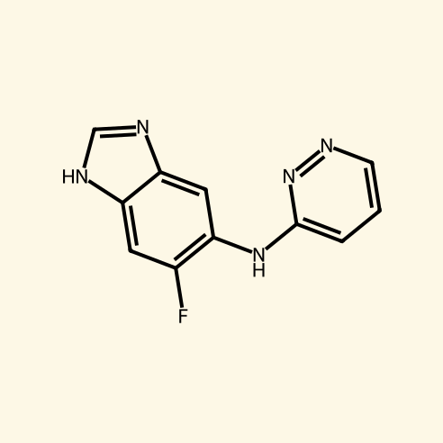 Fc1cc2[nH]cnc2cc1Nc1cccnn1